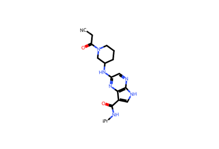 CC(C)NC(=O)c1c[nH]c2ncc(NC3CCCN(C(=O)CC#N)C3)nc12